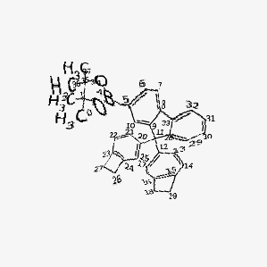 CC1(C)OB(c2ccc3c(c2)C(c2ccc4c(c2)CC4)(c2ccc4c(c2)CC4)c2ccccc2-3)OC1(C)C